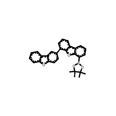 CC1(C)OB(c2cccc3c2oc2c(-c4ccc5oc6ccccc6c5c4)cccc23)OC1(C)C